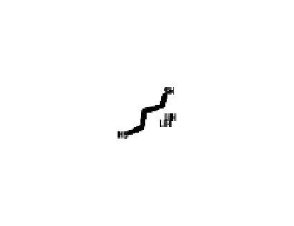 SCCCS.[LiH].[LiH]